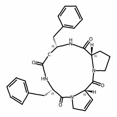 O=C1C[C@H](Cc2ccccc2)NC(=O)[C@@H]2CCCN2C(=O)[C@@H]2C=CCN2C(=O)[C@H](Cc2ccccc2)N1